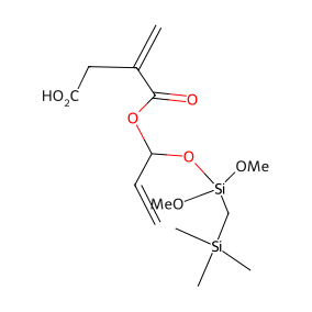 C=CC(OC(=O)C(=C)CC(=O)O)O[Si](C[Si](C)(C)C)(OC)OC